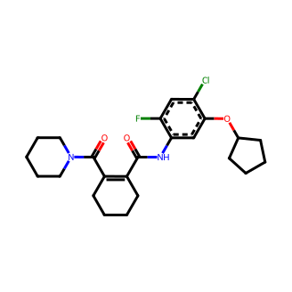 O=C(Nc1cc(OC2CCCC2)c(Cl)cc1F)C1=C(C(=O)N2CCCCC2)CCCC1